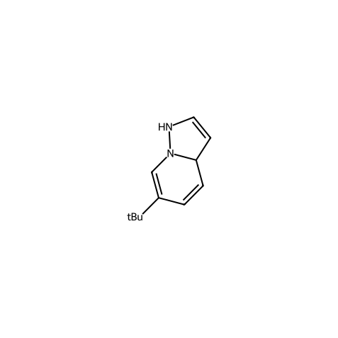 CC(C)(C)C1=CN2NC=CC2C=C1